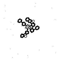 c1ccc(-c2ccc(C3=NC(c4ccc5oc6ccccc6c5c4)NC(c4c(-c5ccccc5-c5ccccc5)ccc5oc6cc7ccccc7cc6c45)=N3)cc2)cc1